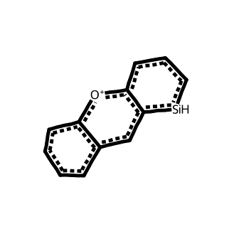 c1ccc2[o+]c3ccc[siH]c3cc2c1